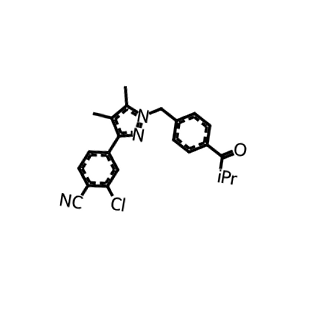 Cc1c(-c2ccc(C#N)c(Cl)c2)nn(Cc2ccc(C(=O)C(C)C)cc2)c1C